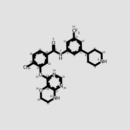 O=C(Nc1cc(C2CCNCC2)cc(C(F)(F)F)c1)c1ccc(Cl)c(Oc2ncnc3c2OCCN3)c1